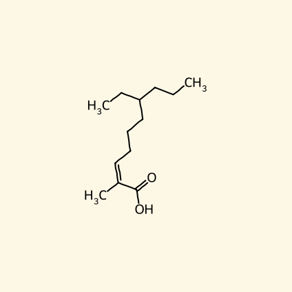 CCCC(CC)CCCC=C(C)C(=O)O